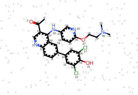 CC(=O)c1cnc2ccc(-c3cc(Cl)c(O)c(Cl)c3)cc2c1Nc1ccc(OCCN(C)C)nc1